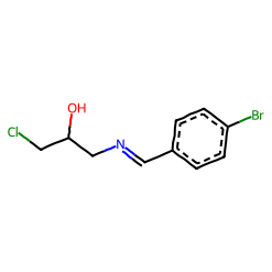 OC(CCl)C/N=C/c1ccc(Br)cc1